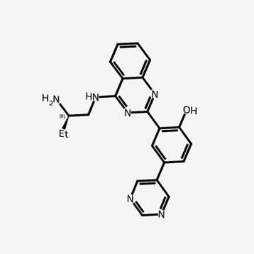 CC[C@@H](N)CNc1nc(-c2cc(-c3cncnc3)ccc2O)nc2ccccc12